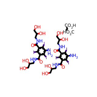 Nc1c(I)c(C(=O)NCC(O)CO)c(I)c(C(=O)NCC(O)CO)c1I.Nc1c(I)c(C(=O)NCC(O)CO)c(I)c(C(=O)NCC(O)CO)c1I.O=C(O)CC(=O)O